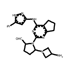 CC(C)c1cc(Nc2nc(N3C(C=O)CCC3N3CC(N)C3)nc3c2CCC3)n[nH]1